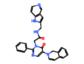 O=C(Cn1c(-c2ccccc2)ncc(N2C=Cc3ccccc3C2)c1=O)NCc1cc2cnccc2[nH]1